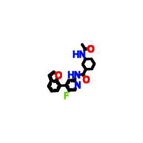 CC(=O)NC1CCCC(C(=O)Nc2cc(-c3cccc4ccoc34)c(F)cn2)C1